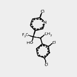 CC(c1ccc(Cl)cc1Cl)C(O)(c1ccc(Cl)nc1)C(F)(F)F